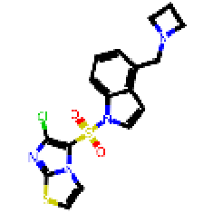 O=S(=O)(c1c(Cl)nc2sccn12)n1ccc2c(CN3CCC3)cccc21